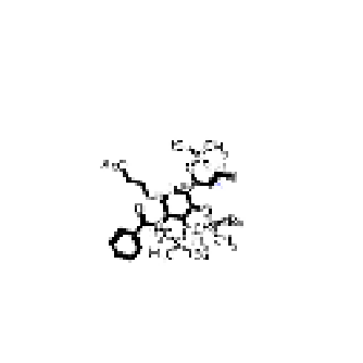 CC(=O)OCCC[C@@H]1O[C@@H](C(/C=C/I)O[Si](C)(C)C(C)(C)C)C(O[Si](C)(C)C(C)(C)C)C(O[Si](C)(C)C(C)(C)C)C1OC(=O)c1ccccc1